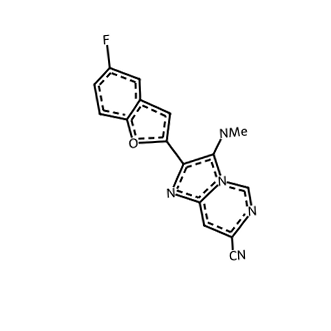 CNc1c(-c2cc3cc(F)ccc3o2)nc2cc(C#N)ncn12